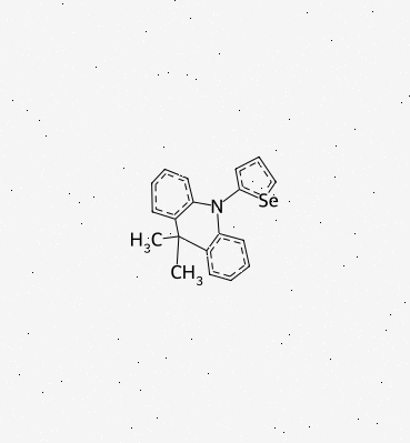 CC1(C)c2ccccc2N(c2ccc[se]2)c2ccccc21